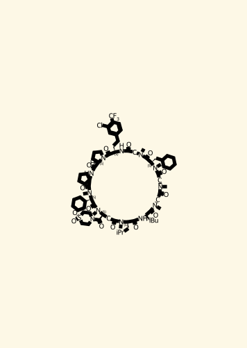 CC[C@H](C)[C@@H]1NC(=O)[C@H](CC(C)C)N(C)C(=O)C[C@@H](C(=O)N2CCS(=O)(=O)CC2)N(C)C(=O)[C@H](C2CCCCC2)N(C)C(=O)C2(CCCC2)NC(=O)[C@@H]2CCCN2C(=O)[C@H](CCc2ccc(C(F)(F)F)c(Cl)c2)NC(=O)CN(C)C(=O)[C@H](CC2CCCCC2)N(C)C(=O)CN(C)C(=O)CN(C)C1=O